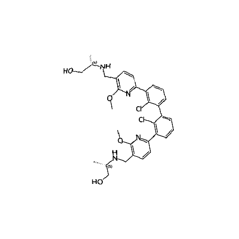 COc1nc(-c2cccc(-c3cccc(-c4ccc(CN[C@@H](C)CO)c(OC)n4)c3Cl)c2Cl)ccc1CN[C@@H](C)CO